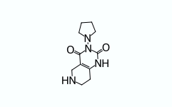 O=c1[nH]c2c(c(=O)n1N1CCCC1)CNCC2